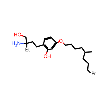 CCC(N)(CO)CCc1ccc(OCCCCC(C)CCCC(C)C)cc1O